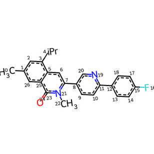 Cc1cc(C(C)C)c2cc(-c3ccc(-c4ccc(F)cc4)nc3)n(C)c(=O)c2c1